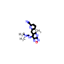 Cc1nc2nonc2c(/N=C/N(C)C)c1Cc1cccc(C#N)n1